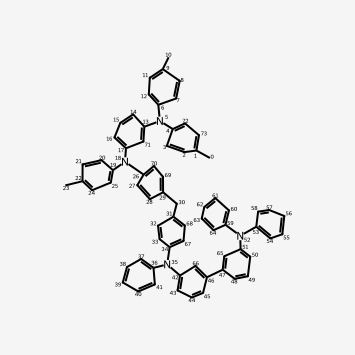 Cc1ccc(N(c2ccc(C)cc2)c2cccc(N(c3ccc(C)cc3)c3ccc(Cc4ccc(N(c5ccccc5)c5cccc(-c6cccc(N(c7ccccc7)c7ccccc7)c6)c5)cc4)cc3)c2)cc1